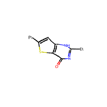 CCc1nc(=O)c2sc(C(C)C)cc2[nH]1